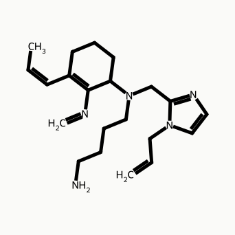 C=CCn1ccnc1CN(CCCCN)C1CCCC(/C=C\C)=C1N=C